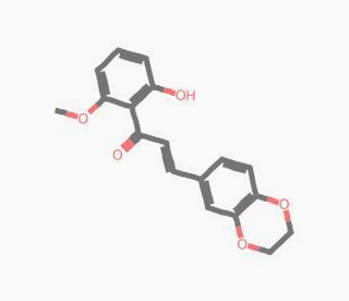 COc1cccc(O)c1C(=O)C=Cc1ccc2c(c1)OCCO2